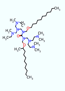 C=[N+](CC)CN(CN(COCCCCCCCCCCC)C(=O)N(COC(C)CCCCCCCCC)CN(CCN(C)C)CCN(C)C)C[N+](=C)CC